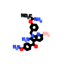 Bc1ccc2c(C(=O)c3ccc(ON)cc3)c(N)n(Cc3cccc(O[C@H](N)C(=O)O)c3)c2n1